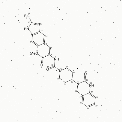 COC(=O)[C@@H](Cc1ccc2[nH]c(C(F)(F)F)nc2c1)NC(=O)N1CCC(N2Cc3ccccc3NC2=O)CC1